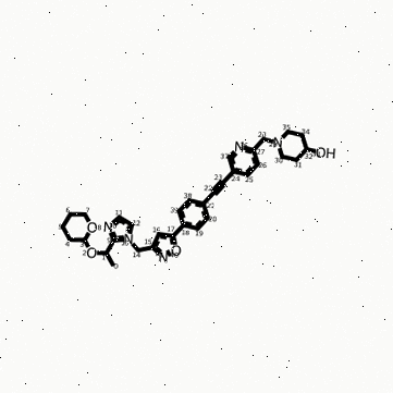 CC(OC1CCCCO1)c1nccn1Cc1cc(-c2ccc(C#Cc3ccc(CN4CCC(O)CC4)nc3)cc2)on1